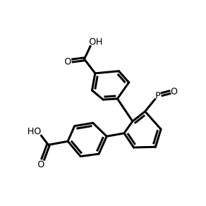 O=Pc1cccc(-c2ccc(C(=O)O)cc2)c1-c1ccc(C(=O)O)cc1